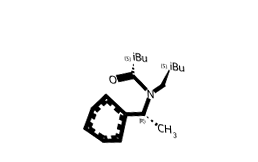 CC[C@H](C)CN(C(=O)[C@@H](C)CC)[C@H](C)c1ccccc1